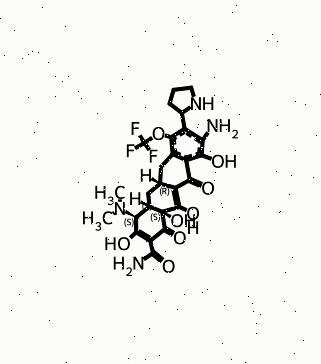 CN(C)[C@@H]1C(O)=C(C(N)=O)C(=O)[C@@]2(O)C(O)=C3C(=O)c4c(O)c(N)c(C5CCCN5)c(OC(F)(F)F)c4C[C@H]3C[C@@H]12